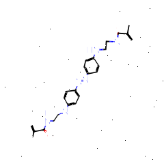 C=C(C)C(=O)NCCNc1ccc(N=Nc2ccc(NCCNC(=O)C(=C)C)cc2)cc1